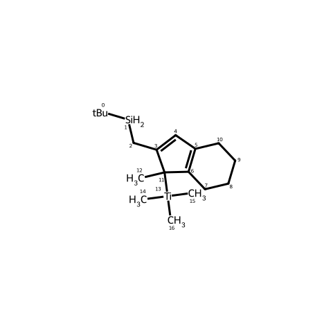 CC(C)(C)[SiH2]CC1=CC2=C(CCCC2)[C]1(C)[Ti]([CH3])([CH3])[CH3]